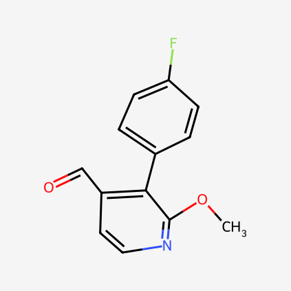 COc1nccc(C=O)c1-c1ccc(F)cc1